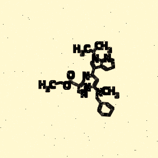 CCOC(=O)c1cnn2c(N(C)Cc3ccccc3)cc(-c3cn(C(C)C)c4ncccc34)nc12